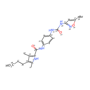 Cc1[nH]c(C(=O)Nc2ccc(NC(=O)Nc3cc(C(C)(C)C)on3)cc2)c(C)c1CCC(=O)O